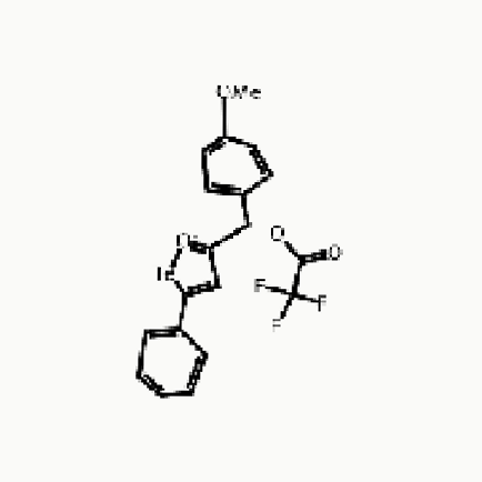 COc1ccc(Cc2cc(-c3ccccc3)[te][o+]2)cc1.O=C([O-])C(F)(F)F